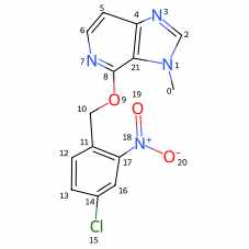 Cn1cnc2ccnc(OCc3ccc(Cl)cc3[N+](=O)[O-])c21